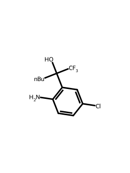 CCCCC(O)(c1cc(Cl)ccc1N)C(F)(F)F